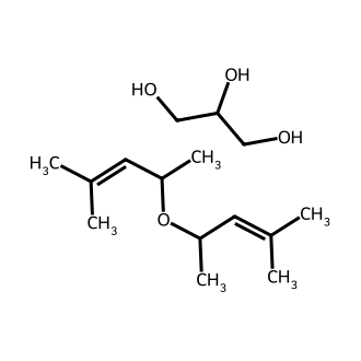 CC(C)=CC(C)OC(C)C=C(C)C.OCC(O)CO